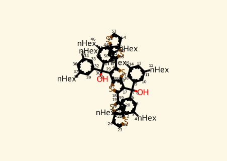 CCCCCCc1cc(CCCCCC)cc(C(O)(c2cc(CCCCCC)cc(CCCCCC)c2)c2c(-c3cc4sccc4s3)sc3c(C(O)(c4cc(CCCCCC)cc(CCCCCC)c4)c4cc(CCCCCC)cc(CCCCCC)c4)c(-c4cc5sccc5s4)sc23)c1